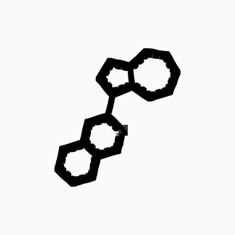 c1ccc2ccc(-c3cc4ccccc4cn3)c-2cc1